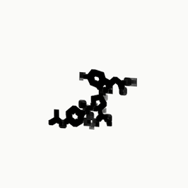 COC(N)[C@@H]1C[C@@H](n2nc(CC(=O)O)c3ccc(F)cc32)CN1S(=O)(=O)c1ccc(OC(C)C)cc1